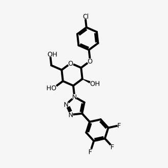 OCC1OC(Oc2ccc(Cl)cc2)[C@@H](O)C(n2cc(-c3cc(F)c(F)c(F)c3)nn2)C1O